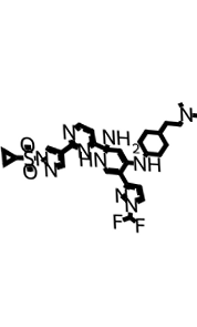 CN(C)CCC1CCC(NC2=CC(N)(c3ccnc(-c4cnn(S(=O)(=O)C5CC5)c4)n3)NC=C2c2ccn(C(F)F)n2)CC1